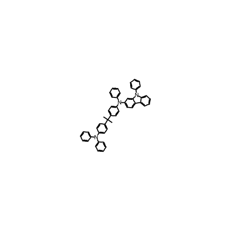 CC(C)(c1ccc(N(c2ccccc2)c2ccccc2)cc1)c1ccc(N(c2ccccc2)c2ccc3c4ccccc4n(-c4ccccc4)c3c2)cc1